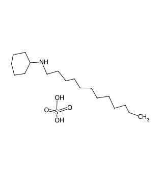 CCCCCCCCCCCCNC1CCCCC1.O=S(=O)(O)O